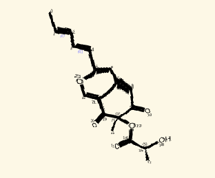 C/C=C/C=C/C1=CC2=CC(=O)[C@](C)(OC(=O)[C@H](C)O)C(=O)C2=CO1